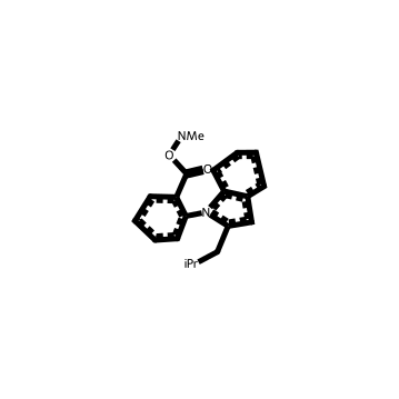 CNOC(=O)c1ccccc1-n1c(CC(C)C)cc2ccccc21